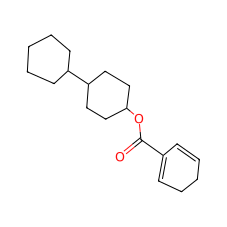 O=C(OC1CCC(C2CCCCC2)CC1)C1=CCCC=C1